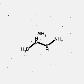 BBBN.[AlH3]